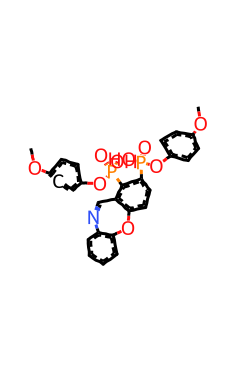 COc1ccc(OP(=O)(O)c2ccc3c(c2P(=O)(O)Oc2ccc(OC)cc2)C=Nc2ccccc2O3)cc1